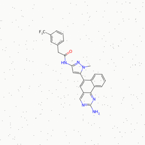 Cn1nc(NC(=O)Cc2cccc(C(F)(F)F)c2)cc1-c1cc2cnc(N)nc2c2ccccc12